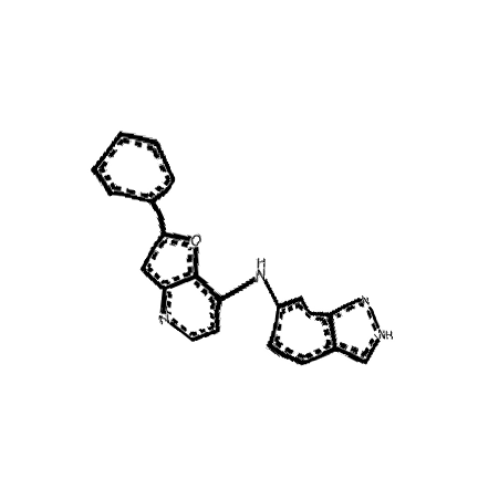 c1ccc(-c2cc3nccc(Nc4ccc5c[nH]nc5c4)c3o2)cc1